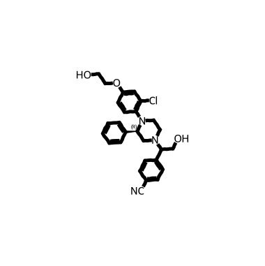 N#Cc1ccc(C(CO)N2CCN(c3ccc(OCCO)cc3Cl)[C@H](c3ccccc3)C2)cc1